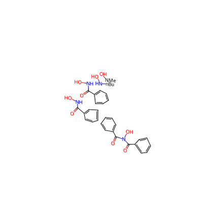 CCCCNO.CNO.O=C(NO)c1ccccc1.O=C(NO)c1ccccc1.O=C(c1ccccc1)N(O)C(=O)c1ccccc1